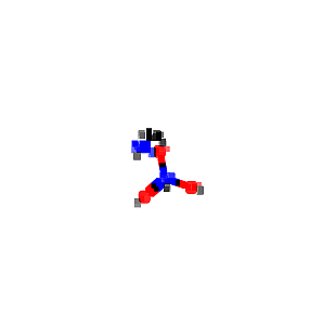 N.O=[N+]([O-])[O-].[La]